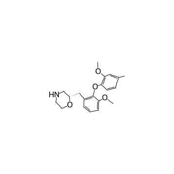 COc1cc(C)ccc1Oc1c(C[C@H]2CNCCO2)cccc1OC